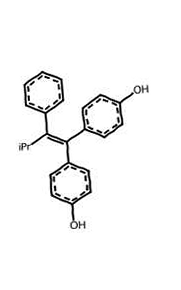 CC(C)C(=C(c1ccc(O)cc1)c1ccc(O)cc1)c1ccccc1